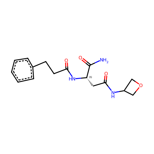 NC(=O)[C@H](CC(=O)NC1COC1)NC(=O)CCc1ccccc1